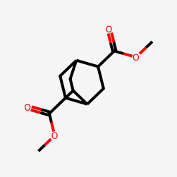 COC(=O)C1CC2CCC1CC2C(=O)OC